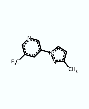 Cc1ccn(-c2cncc(C(F)(F)F)c2)n1